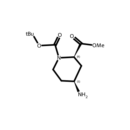 COC(=O)[C@H]1C[C@@H](N)CCN1C(=O)OC(C)(C)C